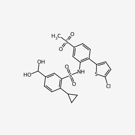 CS(=O)(=O)c1ccc(-c2ccc(Cl)s2)c(NS(=O)(=O)c2cc(C(O)O)ccc2C2CC2)c1